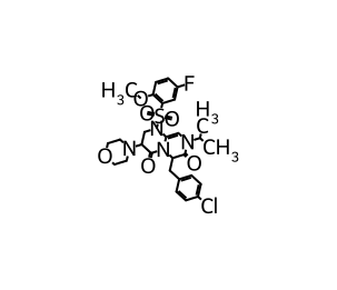 COc1ccc(F)cc1S(=O)(=O)N1CC(N2CCOCC2)C(=O)N2C1=CN(C(C)C)C(=O)C2Cc1ccc(Cl)cc1